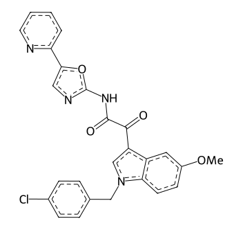 COc1ccc2c(c1)c(C(=O)C(=O)Nc1ncc(-c3ccccn3)o1)cn2Cc1ccc(Cl)cc1